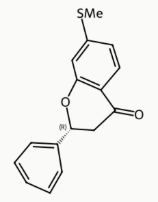 CSc1ccc2c(c1)O[C@@H](c1ccccc1)CC2=O